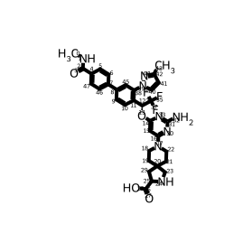 CNC(=O)c1ccc(-c2ccc([C@@H](Oc3cc(N4CCC5(CC4)CNC(C(=O)O)C5)nc(N)n3)C(F)(F)F)c(-n3ccc(C)n3)c2)cc1